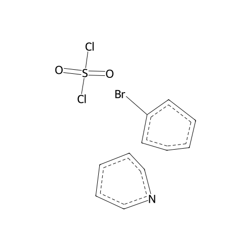 Brc1ccccc1.O=S(=O)(Cl)Cl.c1ccncc1